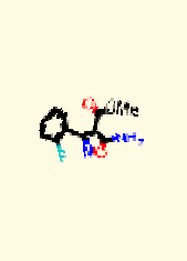 COC(=O)c1c(-c2ccccc2F)noc1N